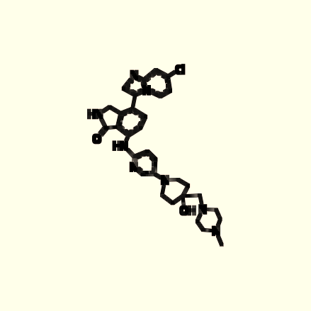 CN1CCN(CC2(O)CCN(c3ccc(Nc4ccc(-c5cnc6cc(Cl)ccn56)c5c4C(=O)NC5)nc3)CC2)CC1